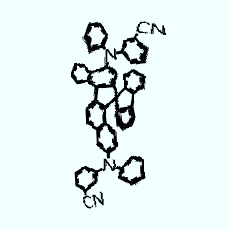 N#Cc1cccc(N(c2ccccc2)c2ccc3c4c(ccc3c2)-c2c(cc(N(c3ccccc3)c3cccc(C#N)c3)c3ccccc23)C42c3ccccc3-c3ccccc32)c1